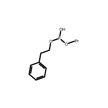 CC(C)OP(O)OCCc1ccccc1